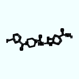 NC(=O)c1ccc2nc(NC(=O)N3CCN(C(=O)c4cccc(F)c4)CC3)sc2c1